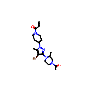 C=CC(=O)N1CCC(n2nc(N3CCN(C(C)=O)CC3C)c(Br)c2C)CC1